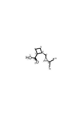 O=C(O)C1CC[C@H]1COC(F)F